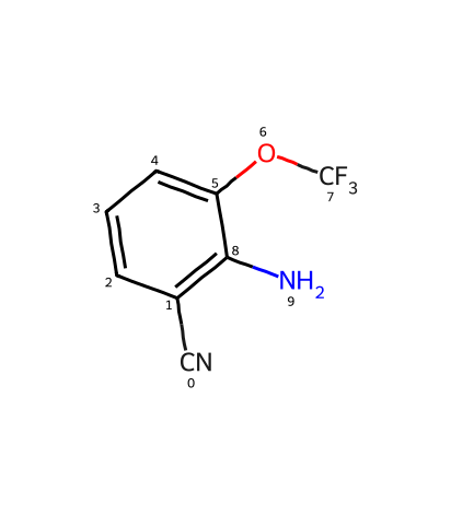 N#Cc1cccc(OC(F)(F)F)c1N